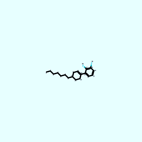 CCCCCCCC1CC=C(c2cccc(F)c2F)CC1